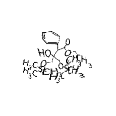 CCOC(=O)C(c1ccccc1)C(O)(CO[Si](C)(C)C)CO[Si](C)(C)C